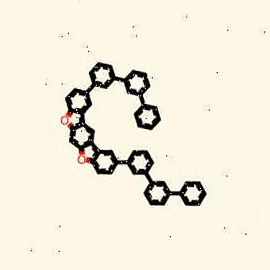 c1ccc(-c2cccc(-c3cccc(-c4ccc5oc6cc7oc8ccc(-c9cccc(-c%10cccc(-c%11ccccc%11)c%10)c9)cc8c7cc6c5c4)c3)c2)cc1